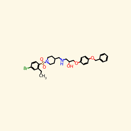 CCc1cc(Br)ccc1S(=O)(=O)N1CCC(CNC[C@H](O)COc2ccc(OCc3ccccc3)cc2)CC1